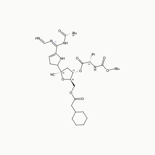 CC[C@@H](C)C(=O)N/C(=N/C=N)C1=CCC([C@@]2(C#N)C[C@H](OC(=O)[C@@H](NC(=O)OC(C)(C)C)C(C)C)[C@@H](COC(=O)CC3CCCCC3)O2)N1